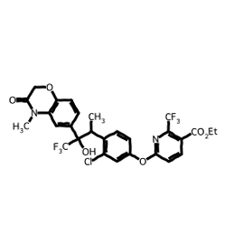 CCOC(=O)c1ccc(Oc2ccc(C(C)C(O)(c3ccc4c(c3)N(C)C(=O)CO4)C(F)(F)F)c(Cl)c2)nc1C(F)(F)F